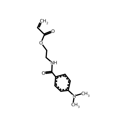 C=CC(=O)OCCNC(=O)c1ccc(N(C)C)cc1